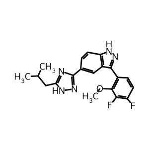 COc1c(-c2n[nH]c3ccc(-c4n[nH]c(CC(C)C)n4)cc23)ccc(F)c1F